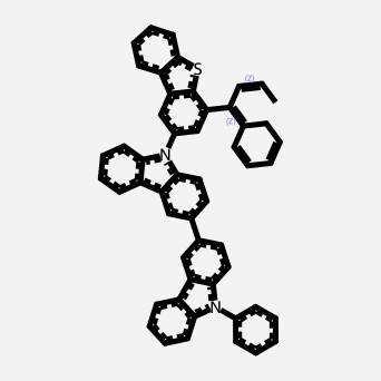 C/C=C\C(=C1\C=CC=CC1)c1cc(-n2c3ccccc3c3cc(-c4ccc5c(c4)c4ccccc4n5-c4ccccc4)ccc32)cc2c1sc1ccccc12